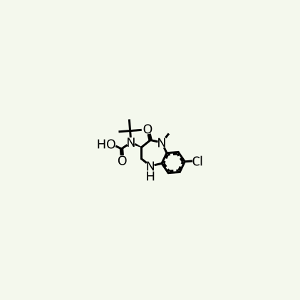 CN1C(=O)[C@H](N(C(=O)O)C(C)(C)C)CNc2ccc(Cl)cc21